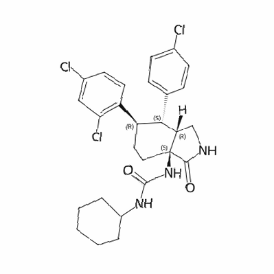 O=C(NC1CCCCC1)N[C@@]12CC[C@@H](c3ccc(Cl)cc3Cl)[C@H](c3ccc(Cl)cc3)[C@@H]1CNC2=O